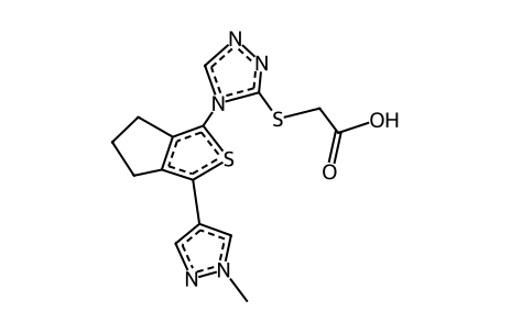 Cn1cc(-c2sc(-n3cnnc3SCC(=O)O)c3c2CCC3)cn1